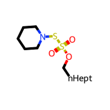 CCCCCCCCOS(=O)(=O)SN1CCCCC1